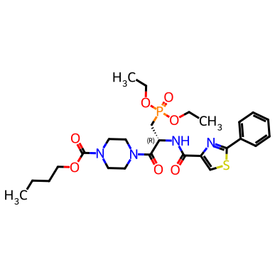 CCCCOC(=O)N1CCN(C(=O)[C@H](CP(=O)(OCC)OCC)NC(=O)c2csc(-c3ccccc3)n2)CC1